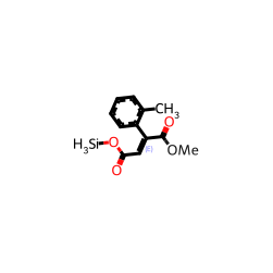 COC(=O)/C(=C/C(=O)O[SiH3])c1ccccc1C